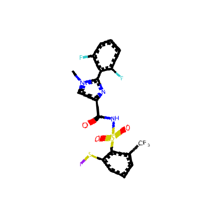 Cn1cc(C(=O)NS(=O)(=O)c2c(SI)cccc2C(F)(F)F)nc1-c1c(F)cccc1F